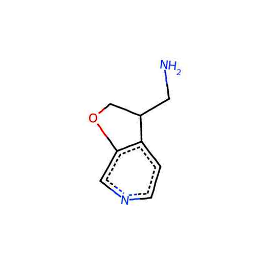 NCC1COc2cnccc21